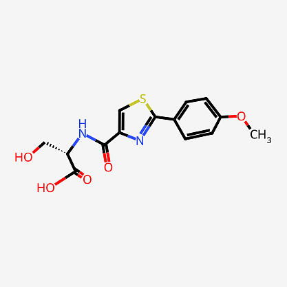 COc1ccc(-c2nc(C(=O)N[C@@H](CO)C(=O)O)cs2)cc1